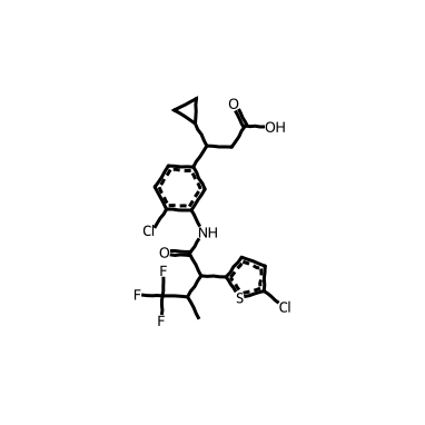 CC(C(C(=O)Nc1cc(C(CC(=O)O)C2CC2)ccc1Cl)c1ccc(Cl)s1)C(F)(F)F